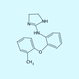 Cc1ccccc1Oc1ccccc1NC1=NCCN1